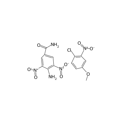 COc1ccc(Cl)c([N+](=O)[O-])c1.NC(=O)c1cc([N+](=O)[O-])c(N)c([N+](=O)[O-])c1